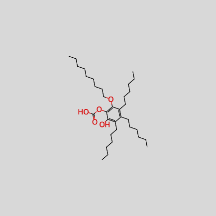 CCCCCCCCCOc1c(CCCCCC)c(CCCCCC)c(CCCCCC)c(O)c1OC(=O)O